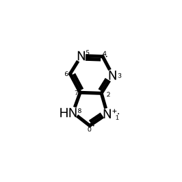 [C]1=[N+]c2n[c]ncc2N1